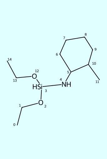 CCO[SiH](NC1CCCCC1C)OCC